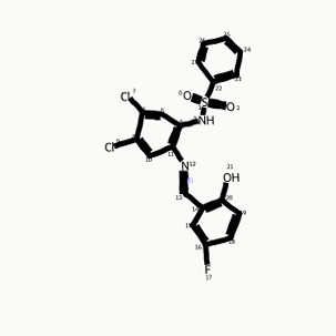 O=S(=O)(Nc1cc(Cl)c(Cl)cc1/N=C/c1cc(F)ccc1O)c1ccccc1